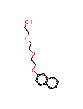 OCCOCCOCCOc1ccc2ccccc2c1